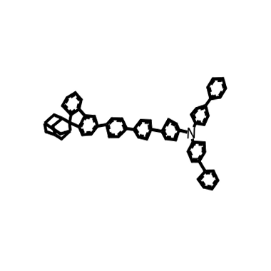 c1ccc(-c2ccc(N(c3ccc(-c4ccccc4)cc3)c3ccc(-c4ccc(-c5ccc(-c6ccc7c(c6)-c6ccccc6C76C7CC8CC(C7)CC6C8)cc5)cc4)cc3)cc2)cc1